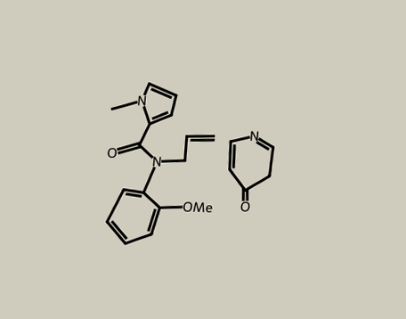 C=CCN(C(=O)c1cccn1C)c1ccccc1OC.O=C1C=CN=CC1